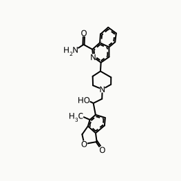 Cc1c(C(O)CN2CCC(c3cc4ccccc4c(C(N)=O)n3)CC2)ccc2c1COC2=O